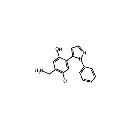 NCc1cc(O)c(-c2ccnn2-c2ccccc2)cc1Cl